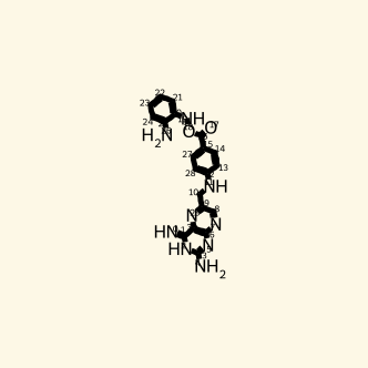 N=c1[nH]c(N)nc2ncc(CNc3ccc(C(=O)ONc4ccccc4N)cc3)nc12